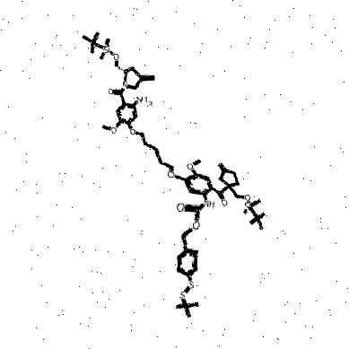 C=C1C[C@@H](CO[Si](C)(C)C(C)(C)C)N(C(=O)c2cc(OC)c(OCCCCCOc3cc(NC(=O)OCc4ccc(SSC(C)(C)C)cc4)c(C(=O)C4(CO[Si](C)(C)C(C)(C)C)CCC(=C)C4)cc3OC)cc2N)C1